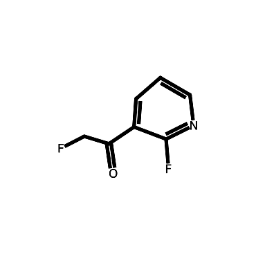 O=C(CF)c1cccnc1F